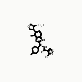 CCc1nocc1C(=O)N[C@H](c1nc2c(F)c(C3COCC3C(=O)O)ccc2[nH]1)C1CCC(C)CC1